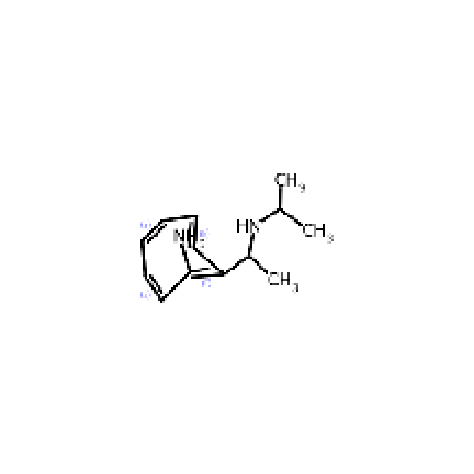 CC(C)NC(C)C1=C(N)\C=C/C=C\C=C\1